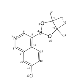 CC1(C)OB(c2cncc3cc(Cl)ccc23)OC1(C)C